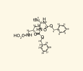 CC(C)(C)C(NC(=O)OCc1ccccc1)[C@H](CCCNC(=O)O)NC(=O)OCc1ccccc1